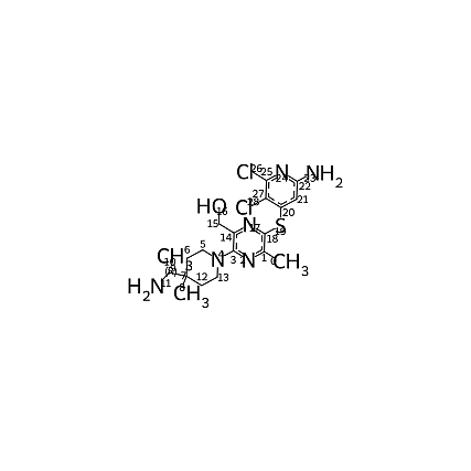 Cc1nc(N2CCC(C)([C@@H](C)N)CC2)c(CO)nc1Sc1cc(N)nc(Cl)c1Cl